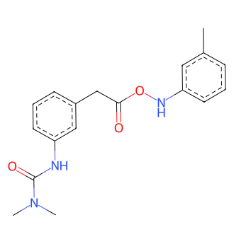 Cc1cccc(NOC(=O)Cc2cccc(NC(=O)N(C)C)c2)c1